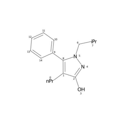 CCCc1c(O)nn(CC(C)C)c1-c1ccccc1